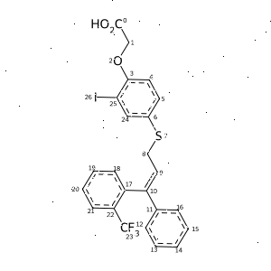 O=C(O)COc1ccc(SCC=C(c2ccccc2)c2ccccc2C(F)(F)F)cc1I